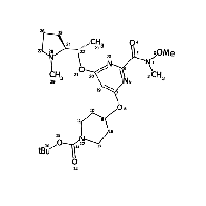 CON(C)C(=O)c1nc(OC2CCN(C(=O)OC(C)(C)C)CC2)cc(O[C@@H](C)[C@@H]2CCCN2C)n1